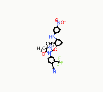 CC1(C)C(=O)N(c2ccc(C#N)c(C(F)(F)F)c2)C(=O)N1Cc1ccccc1Nc1ccc([N+](=O)[O-])cc1